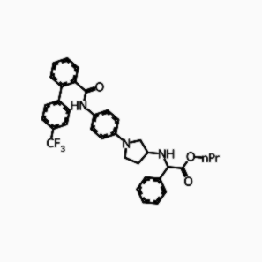 CCCOC(=O)C(NC1CCN(c2ccc(NC(=O)c3ccccc3-c3ccc(C(F)(F)F)cc3)cc2)C1)c1ccccc1